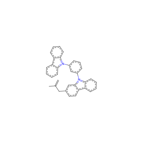 C=C(C)Cc1ccc2c3ccccc3n(-c3cccc(-n4c5ccccc5c5ccccc54)c3)c2c1